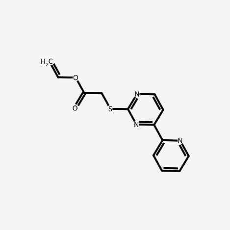 C=COC(=O)CSc1nccc(-c2ccccn2)n1